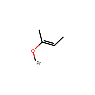 CC=C(C)OC(C)C